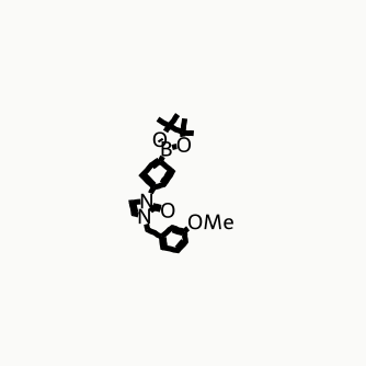 COc1cccc(Cn2ccn(-c3ccc(B4OC(C)(C)C(C)(C)O4)cc3)c2=O)c1